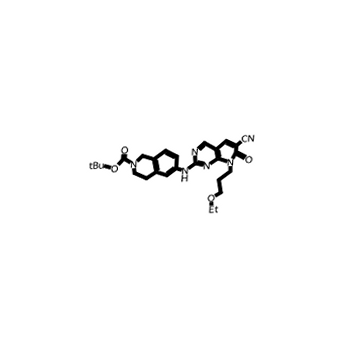 CCOCCCn1c(=O)c(C#N)cc2cnc(Nc3ccc4c(c3)CCN(C(=O)OC(C)(C)C)C4)nc21